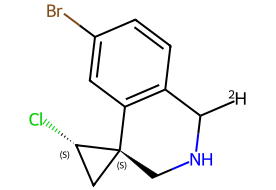 [2H]C1NC[C@]2(C[C@@H]2Cl)c2cc(Br)ccc21